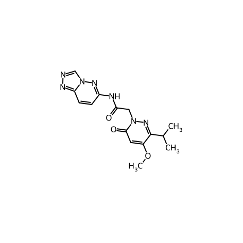 COc1cc(=O)n(CC(=O)Nc2ccc3nncn3n2)nc1C(C)C